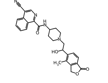 Cc1c(C(O)CN2CCC(NC(=O)c3ncc(C#N)c4ccccc34)CC2)ccc2c1COC2=O